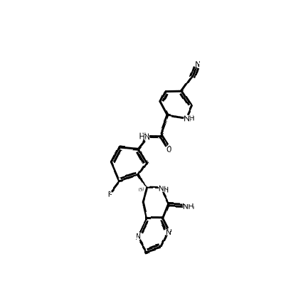 N#CC1=CNC(C(=O)Nc2ccc(F)c([C@@H]3Cc4nccnc4C(=N)N3)c2)C=C1